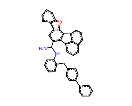 NC(Nc1ccccc1Cc1ccc(-c2ccccc2)cc1)c1cc2c(oc3ccccc32)c2c1-c1cccc3cccc-2c13